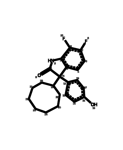 O=C1Nc2c(ccc(F)c2F)C1(c1ccc(O)cc1)C1CCCCCCC1